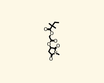 CCC(C)(C)C(=O)OCC(=O)OC1CC(=O)N(C)C1=O